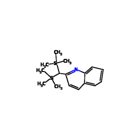 C[Si](C)(C)C(c1ccc2ccccc2n1)[Si](C)(C)C